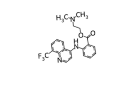 CN(C)CCOC(=O)c1ccccc1Nc1ccnc2c(C(F)(F)F)cccc12